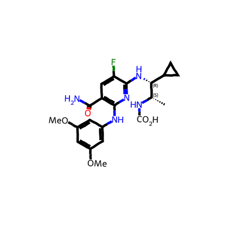 COc1cc(Nc2nc(N[C@H](C3CC3)[C@H](C)NC(=O)O)c(F)cc2C(N)=O)cc(OC)c1